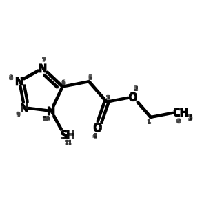 CCOC(=O)Cc1nnnn1S